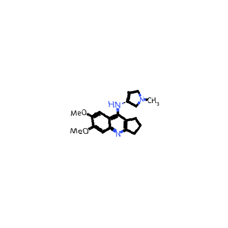 COc1cc2nc3c(c(N[C@@H]4CCN(C)C4)c2cc1OC)CCC3